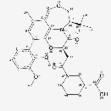 COc1cccc([C@@H]2C=C(C)C3=COC[C@@H](C(C)(C)C)N4C(=O)[C@@H](CC(=O)N5CCC[C@@H](C(=O)O)C5)OC2=C34)c1OC